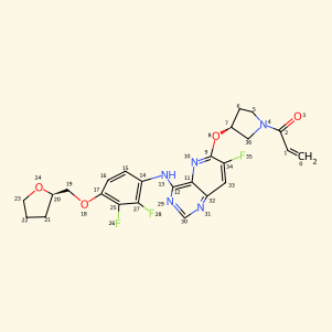 C=CC(=O)N1CC[C@H](Oc2nc3c(Nc4ccc(OC[C@H]5CCCO5)c(F)c4F)ncnc3cc2F)C1